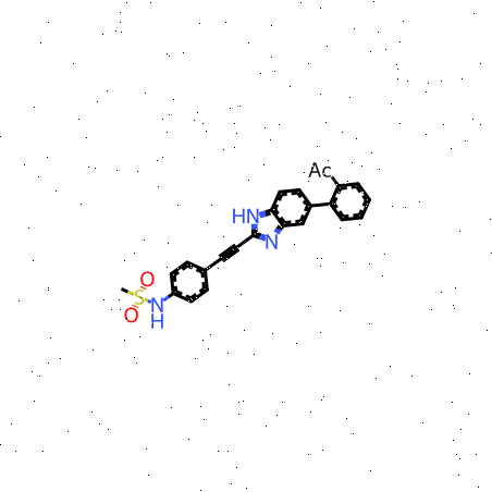 CC(=O)c1ccccc1-c1ccc2[nH]c(C#Cc3ccc(NS(C)(=O)=O)cc3)nc2c1